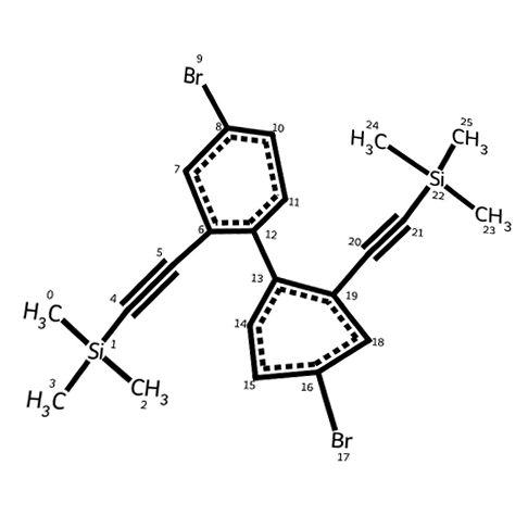 C[Si](C)(C)C#Cc1cc(Br)ccc1-c1ccc(Br)cc1C#C[Si](C)(C)C